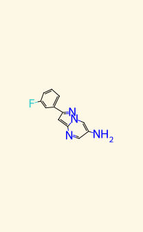 Nc1cnc2cc(-c3cccc(F)c3)nn2c1